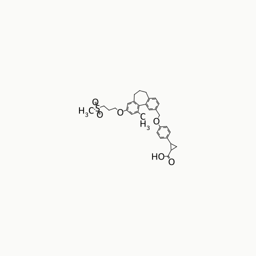 Cc1cc(OCCCS(C)(=O)=O)cc2c1-c1cc(COc3ccc(C4CC4C(=O)O)cc3)ccc1CCC2